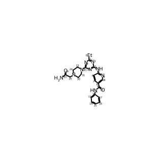 CCc1nc(Nc2ccc(C(=O)Nc3ccccc3)cn2)nc(N2CCN(CC(N)=O)CC2)n1